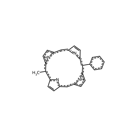 Cc1c2nc(cc3ccc([nH]3)c(-c3ccccc3)c3nc(cc4ccc1[nH]4)C=C3)C=C2